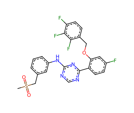 CS(=O)(=O)Cc1cccc(Nc2ncnc(-c3ccc(F)cc3OCc3ccc(F)c(F)c3F)n2)c1